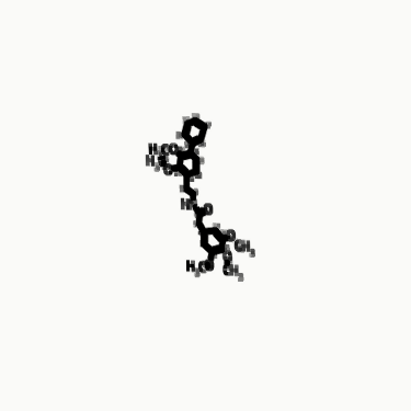 COc1cc(CC(=O)NCCc2ccc(-c3ccccc3)c(OC)c2OC)cc(OC)c1OC